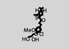 COc1cc(CCC(=O)c2sc(C)c3c2C[C@@H]2[C@H]3C2(C)C)cc(Cl)c1OC[C@H](O)CO